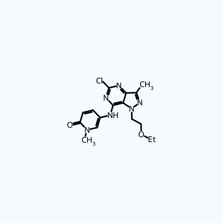 CCOCCn1nc(C)c2nc(Cl)nc(Nc3ccc(=O)n(C)c3)c21